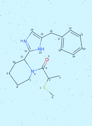 CSC(C)C(=O)N1CCCCC1c1ncc(Cc2ccccc2)[nH]1